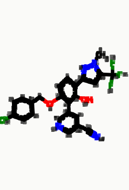 Cn1nc(-c2ccc(OCc3ccc(Cl)cc3)c(-c3cncc(C#N)c3)c2O)cc1C(F)(F)F